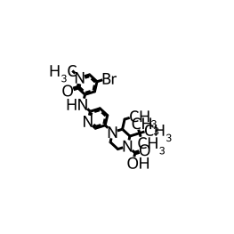 CCC1C(C(C)(C)C)N(C(=O)O)CCN1c1ccc(Nc2cc(Br)cn(C)c2=O)nc1